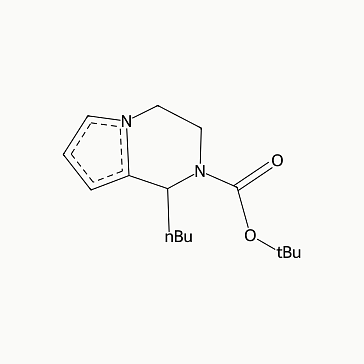 CCCCC1c2cccn2CCN1C(=O)OC(C)(C)C